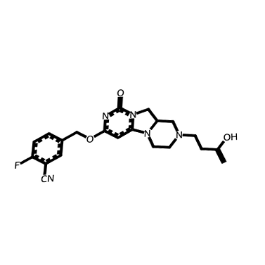 C=C(O)CCN1CCN2c3cc(OCc4ccc(F)c(C#N)c4)nc(=O)n3CC2C1